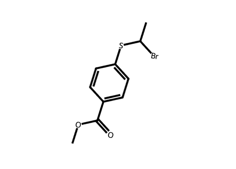 COC(=O)c1ccc(SC(C)Br)cc1